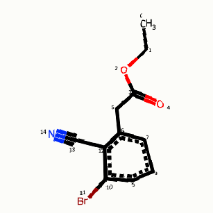 CCOC(=O)Cc1cccc(Br)c1C#N